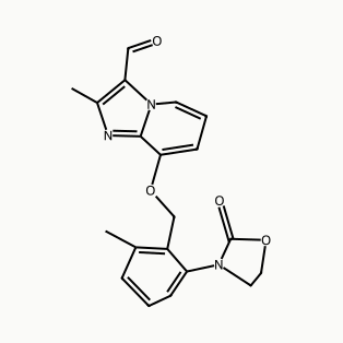 Cc1cccc(N2CCOC2=O)c1COc1cccn2c(C=O)c(C)nc12